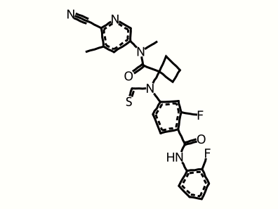 Cc1cc(N(C)C(=O)C2(N(C=S)c3ccc(C(=O)Nc4ccccc4F)c(F)c3)CCC2)cnc1C#N